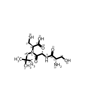 CC(C)(C)SN(C(=O)CNC(=O)[C@@H](N)CO)[C@@H](CS)C(=O)O